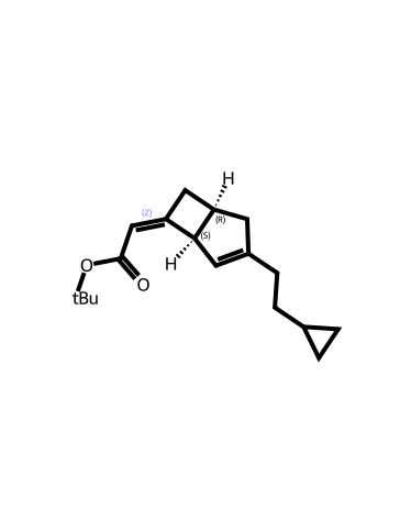 CC(C)(C)OC(=O)/C=C1/C[C@H]2CC(CCC3CC3)=C[C@@H]12